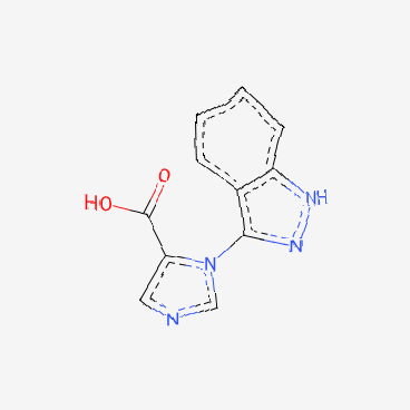 O=C(O)c1cncn1-c1n[nH]c2ccccc12